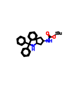 CC(C)(C)OC(=O)N[C@@H]1CC[C@H](NC(c2ccccc2)(c2ccccc2)c2ccccc2)C1